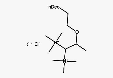 CCCCCCCCCCCCOC(C)C([N+](C)(C)C)[N+](C)(C)C.[Cl-].[Cl-]